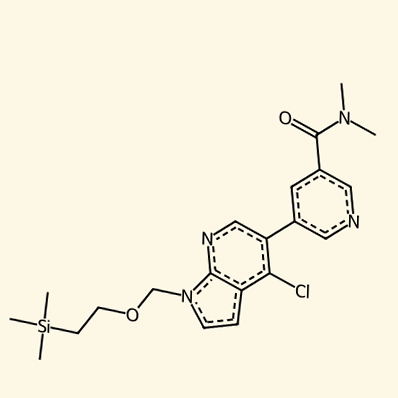 CN(C)C(=O)c1cncc(-c2cnc3c(ccn3COCC[Si](C)(C)C)c2Cl)c1